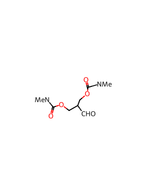 CNC(=O)OCC(C=O)COC(=O)NC